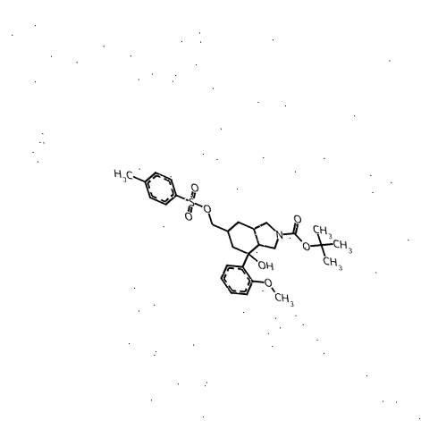 COc1ccccc1C1(O)CC(COS(=O)(=O)c2ccc(C)cc2)CC2CN(C(=O)OC(C)(C)C)CC21